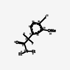 CCN(CC)C(=O)C(C)(C)c1ccc(I)c(OC)c1